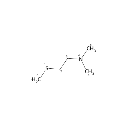 [CH2]SCCN(C)C